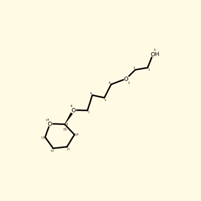 OCCOCCCCO[C@H]1CCCCO1